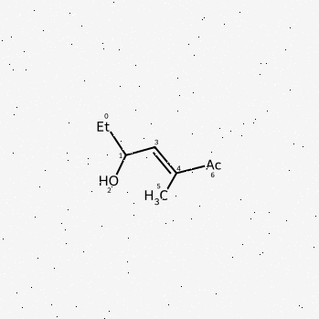 CCC(O)/C=C(\C)C(C)=O